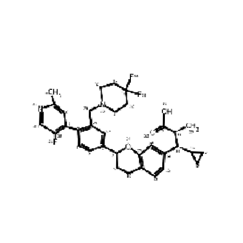 Cc1cc(-c2ccc(C3CCc4ccc([C@H](C5CC5)[C@H](C)C(=O)O)cc4O3)cc2CN2CCC(F)(F)CC2)c(F)cn1